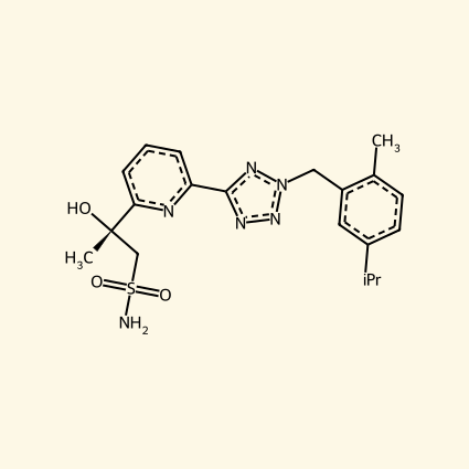 Cc1ccc(C(C)C)cc1Cn1nnc(-c2cccc([C@@](C)(O)CS(N)(=O)=O)n2)n1